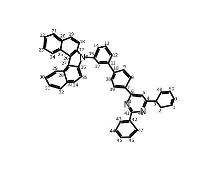 C1=CCC(c2cc(-c3ccc(-c4cccc(-n5c6ccc7ccccc7c6c6c7ccccc7ccc65)c4)cc3)nc(-c3ccccc3)n2)C=C1